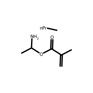 C=C(C)C(=O)OC(C)N.CCCC